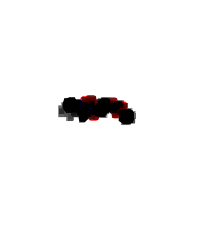 C[C@@H](C1CC1)N(Cc1ccccc1)C(=O)CN1C(=O)OC2(CCc3cc(OC4COC(c5ccccc5)OC4)ccc32)C1=O